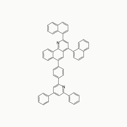 c1ccc(-c2cc(-c3ccccc3)nc(-c3ccc(-c4cc5c(-c6cccc7ccccc67)cc(-c6cccc7ccccc67)nc5c5ccccc45)cc3)c2)cc1